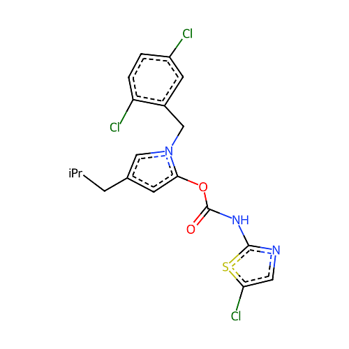 CC(C)Cc1cc(OC(=O)Nc2ncc(Cl)s2)n(Cc2cc(Cl)ccc2Cl)c1